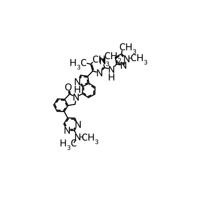 C=N/C(=N\C(=C(C)C)c1c[nH]c2c(N3Cc4c(cccc4-c4cnc(N(C)C)nc4)C3=O)cccc12)Nc1cc(C)n(C)n1